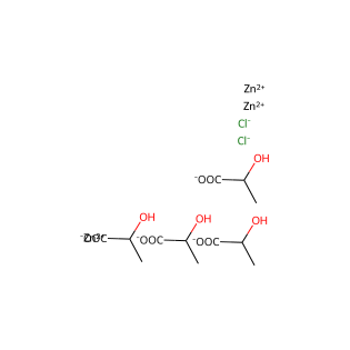 CC(O)C(=O)[O-].CC(O)C(=O)[O-].CC(O)C(=O)[O-].CC(O)C(=O)[O-].[Cl-].[Cl-].[Zn+2].[Zn+2].[Zn+2]